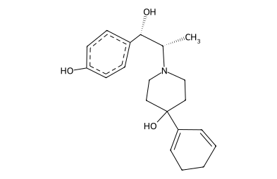 C[C@@H]([C@@H](O)c1ccc(O)cc1)N1CCC(O)(C2=CCCC=C2)CC1